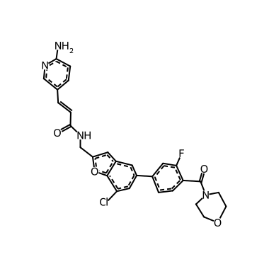 Nc1ccc(C=CC(=O)NCc2cc3cc(-c4ccc(C(=O)N5CCOCC5)c(F)c4)cc(Cl)c3o2)cn1